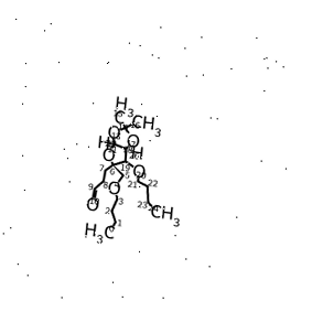 CCCCOC[C@@]1(CCC=O)O[C@@H]2OC(C)(C)O[C@H]2C1OCCCC